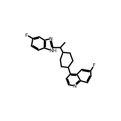 CC(c1nc2cc(F)ccc2[nH]1)C1CCC(c2ccnc3ccc(F)cc23)CC1